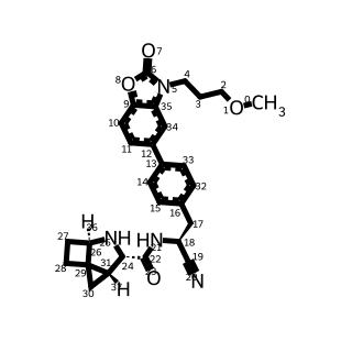 COCCCn1c(=O)oc2ccc(-c3ccc(C[C@@H](C#N)NC(=O)[C@H]4N[C@@H]5CCC56C[C@@H]46)cc3)cc21